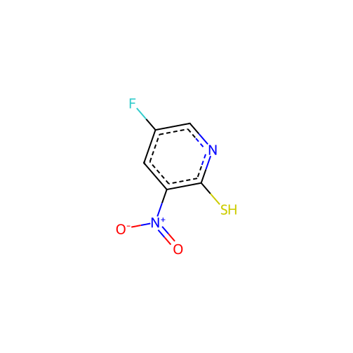 O=[N+]([O-])c1cc(F)cnc1S